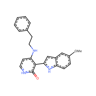 COc1ccc2[nH]c(-c3c(NCCc4ccccc4)cc[nH]c3=O)cc2c1